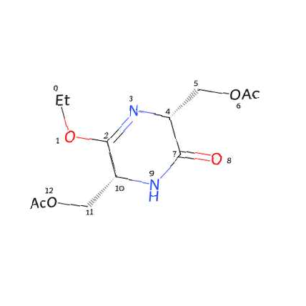 CCOC1=N[C@H](COC(C)=O)C(=O)N[C@@H]1COC(C)=O